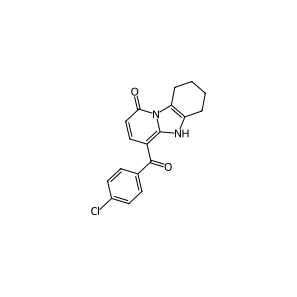 O=C(c1ccc(Cl)cc1)c1ccc(=O)n2c3c([nH]c12)CCCC3